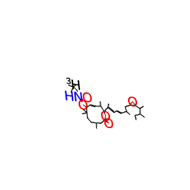 [3H]C(C)(C)CNC(=O)OC1/C=C/C(C)C(/C(C)=C/C=C/C(C)CC2OC2C(C)C(C)CC)OC(=O)CC(C)CCC1(C)C